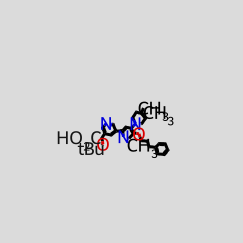 Cc1nc(-c2cncc([C@H](OC(C)(C)C)C(=O)O)c2)cc(N2CCC(C)(C)CC2)c1OCCCc1ccccc1